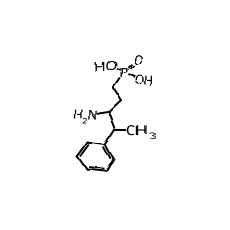 CC(c1ccccc1)C(N)CCP(=O)(O)O